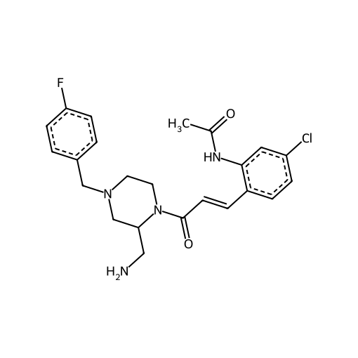 CC(=O)Nc1cc(Cl)ccc1C=CC(=O)N1CCN(Cc2ccc(F)cc2)CC1CN